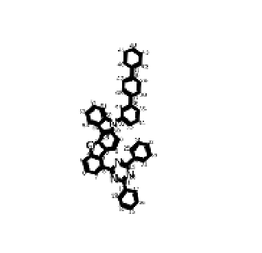 C1=CC2c3c(cccc3-c3nc(-c4ccccc4)nc(-c4ccccc4)n3)OC2c2c1n(-c1cccc(-c3ccc(-c4ccccc4)cc3)c1)c1ccccc21